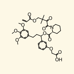 C=CC(=O)OCC(C)(C)C(=O)C(=O)N1CCCC[C@H]1C(=O)OC(CCc1cc(OC)c(OC)c(OC)c1)c1cccc(OCC(=O)O)c1